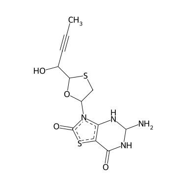 CC#CC(O)C1OC(n2c3c(sc2=O)C(=O)NC(N)N3)CS1